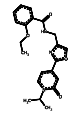 CCOc1ccccc1C(=O)NCc1coc(-c2ccn(C(C)C)c(=O)c2)n1